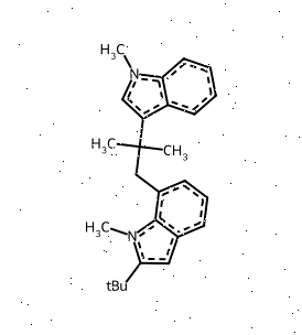 Cn1cc(C(C)(C)Cc2cccc3cc(C(C)(C)C)n(C)c23)c2ccccc21